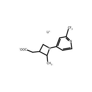 CC1C(CC(=O)[O-])CN1c1ccnc(C(F)(F)F)c1.[Li+]